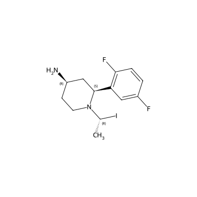 C[C@@H](I)N1CC[C@@H](N)C[C@H]1c1cc(F)ccc1F